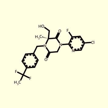 CC(F)(F)c1ccc(CN2C(=O)CN(c3ncc(Cl)cc3F)C(=O)[C@]2(C)CO)cc1